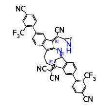 C/C1=C2/C(=C(C#N)C#N)c3cc(-c4ccc(C#N)cc4C(F)(F)F)ccc3/C2=N/C2=C(CC1)c1ccc(-c3ccc(C#N)cc3C(F)(F)F)cc1/C2=C(\C#N)C1CN1